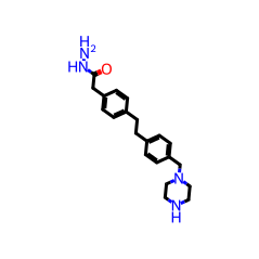 NNC(=O)Cc1ccc(CCc2ccc(CN3CCNCC3)cc2)cc1